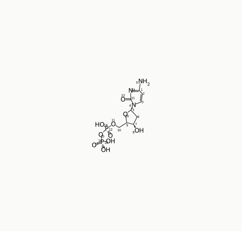 Nc1ccn([C@H]2C[C@@H](O)C(COP(=O)(O)OP(=O)(O)O)O2)c(=O)n1